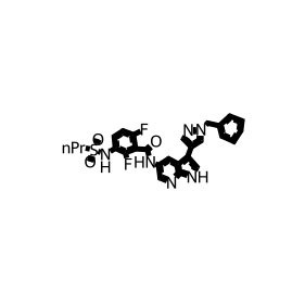 CCCS(=O)(=O)Nc1ccc(F)c(C(=O)Nc2cnc3[nH]cc(-c4cnn(Cc5ccccc5)c4)c3c2)c1F